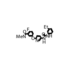 CCc1cccc(NC(=O)Nc2ccc(Oc3ccc(F)c(C(=O)NC)c3)nc2)c1